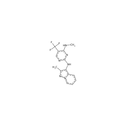 CNc1nc(Nc2c(C)nn3ccccc23)ncc1C(F)(F)F